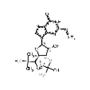 CC(C)(C)O[C@H]1[C@@H](O)[C@H](n2cnc3c(=O)[nH]c(N=[SiH2])nc32)O[C@@H]1C(O)C(C)(C)C